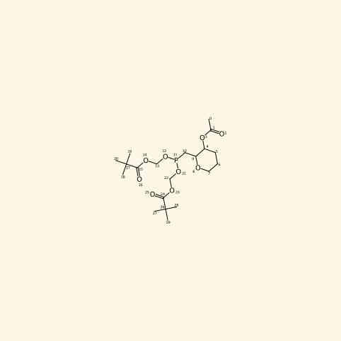 CC(=O)OC1CCCOC1CP(OCOC(=O)C(C)(C)C)OCOC(=O)C(C)(C)C